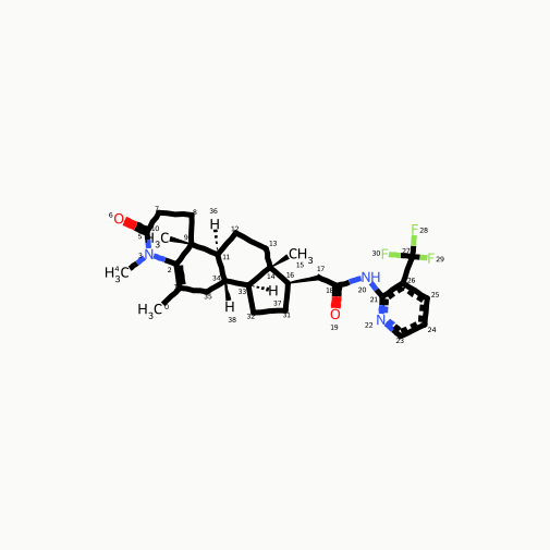 CC1=C2N(C)C(=O)CC[C@]2(C)[C@H]2CC[C@]3(C)[C@@H](CC(=O)Nc4ncccc4C(F)(F)F)CC[C@H]3[C@@H]2C1